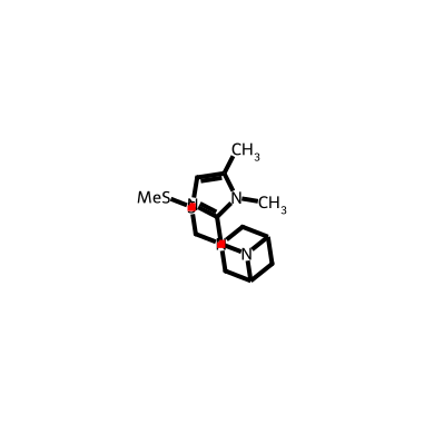 CSSCN1CC2CC(C1)N2Cc1ncc(C)n1C